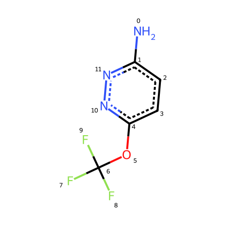 Nc1ccc(OC(F)(F)F)nn1